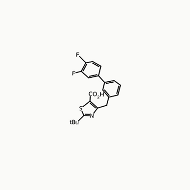 CC(C)(C)c1nc(Cc2cccc(-c3ccc(F)c(F)c3)c2)c(C(=O)O)s1